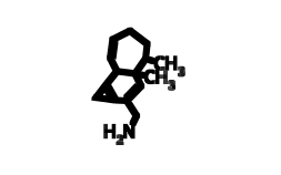 CC1CCC=CC2C3=C(C3)C(CN)=CC12C